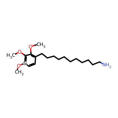 COc1c(CCCCCCCCCCCN)cc[si](OC)c1OC